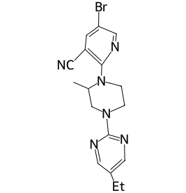 CCc1cnc(N2CCN(c3ncc(Br)cc3C#N)C(C)C2)nc1